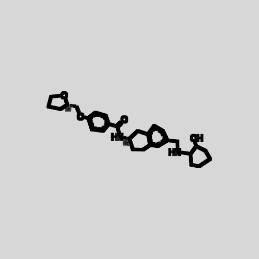 O=C(N[C@H]1CCc2cc(CNC3CCCCC3O)ccc2C1)c1ccc(OC[C@@H]2CCCO2)cc1